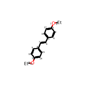 CCOc1ccc(C=Cc2ccc(OCC)cc2)cc1